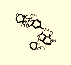 CC1(N2Cc3cc(Nc4nn([C@H]5CCCC[C@@H]5C#N)c5cc[nH]c(=O)c45)ccc3S2(O)O)CCOCC1